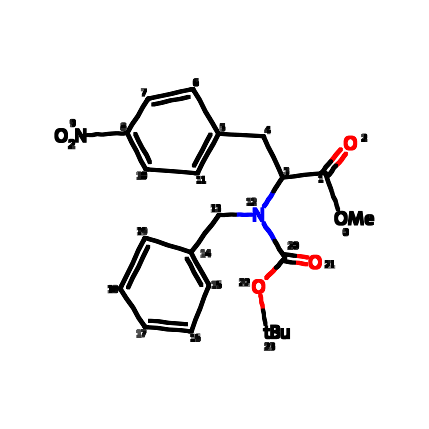 COC(=O)C(Cc1ccc([N+](=O)[O-])cc1)N(Cc1ccccc1)C(=O)OC(C)(C)C